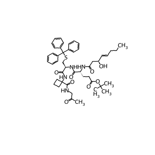 CCC/C=C/[C@@H](O)CC(=O)N[C@H](CCC(=O)OC(C)(C)C)C(=O)N[C@H](CSC(c1ccccc1)(c1ccccc1)c1ccccc1)C(=O)NC1(C(=O)NCC(C)=O)CCC1